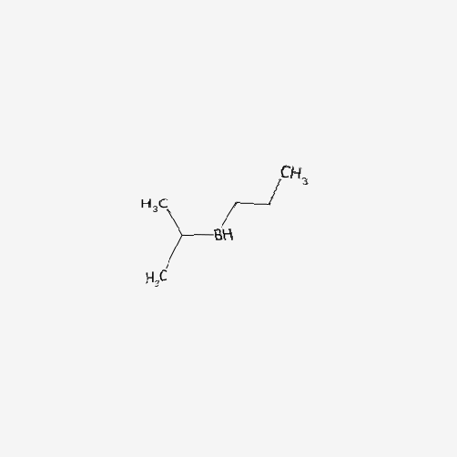 CCCBC(C)C